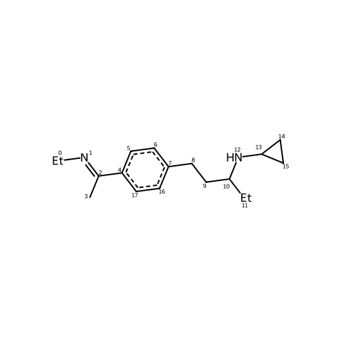 CC/N=C(\C)c1ccc(CCC(CC)NC2CC2)cc1